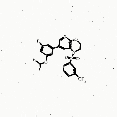 O=S(=O)(c1cccc(C(F)(F)F)c1)N1CCOc2ncc(-c3cc(F)cc(OC(F)F)c3)cc21